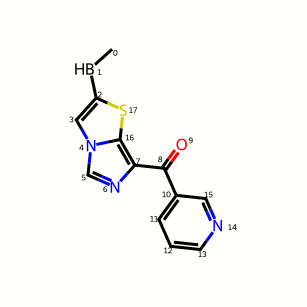 CBc1cn2cnc(C(=O)c3cccnc3)c2s1